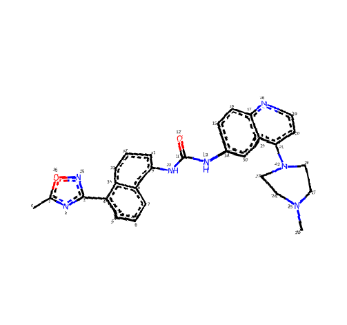 Cc1nc(-c2cccc3c(NC(=O)Nc4ccc5nccc(N6CCN(C)CC6)c5c4)cccc23)no1